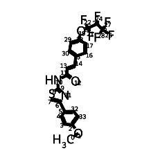 COc1ccc(-c2csc(NC(=O)/C=C/c3ccc(OC(F)(F)C(F)C(F)(F)F)cc3)n2)cc1